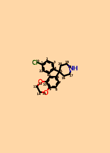 Clc1ccc(C2(c3ccc4c(c3)OCCO4)CCNCC2)cc1